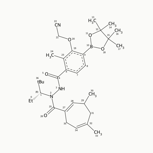 CC[C@@H](N(NC(=O)c1ccc(B2OC(C)(C)C(C)(C)O2)c(OCC#N)c1C)C(=O)C1=CC(C)CC(C)=CC1)C(C)(C)C